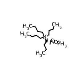 CCCC[N+](CCCC)(CCCC)CCCC.O.P.[OH-]